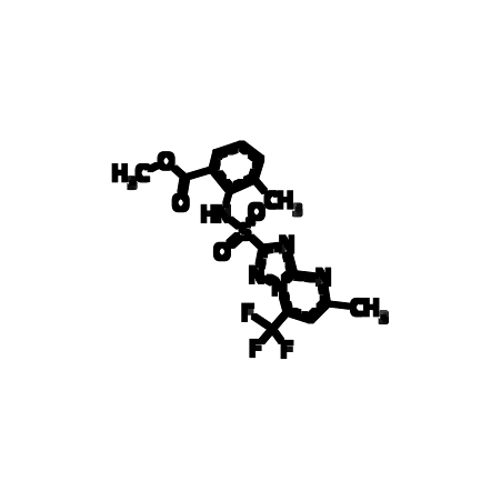 COC(=O)c1cccc(C)c1NS(=O)(=O)c1nc2nc(C)cc(C(F)(F)F)n2n1